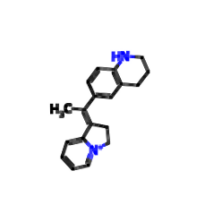 CC(=C1CC[n+]2ccccc21)c1ccc2c(c1)CCCN2